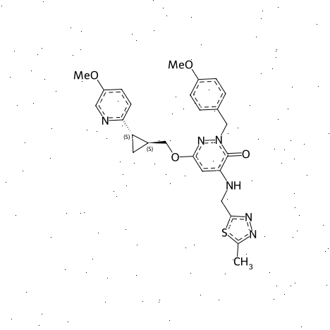 COc1ccc(Cn2nc(OC[C@H]3C[C@@H]3c3ccc(OC)cn3)cc(NCc3nnc(C)s3)c2=O)cc1